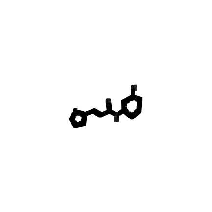 O=C(C=Cc1cccs1)Nc1cccc(Cl)c1